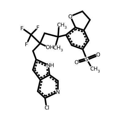 CC(C)(CC(O)(Cc1cc2cc(Cl)ncc2[nH]1)C(F)(F)F)c1cc(S(C)(=O)=O)cc2c1OCC2